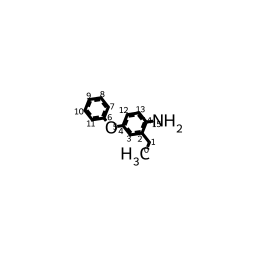 CCc1cc(Oc2ccccc2)ccc1N